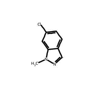 Cn1n[c]c2ccc(Cl)cc21